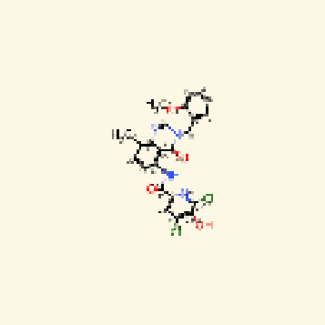 COc1ccccc1Cn1cnc2c(C)ccc(NC(=O)c3cc(Cl)c(O)c(Cl)n3)c2c1=O